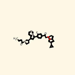 C/C=C/C(=O)N1CCC(c2cc(-c3ccc(C(=O)CCCC4=C\CC/C=C/C(C5CC5)=C\4)cc3F)n3cnccc23)C1